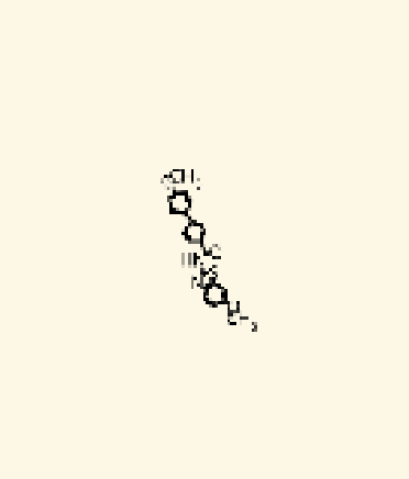 COc1ccc(-c2ccc(C(=O)Nc3nc4ccc(OC)cc4s3)cc2)cc1